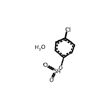 O.O=[SH](=O)Oc1ccc(Cl)cc1